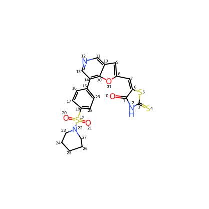 O=C1NC(=S)SC1=Cc1cc2cncc(-c3ccc(S(=O)(=O)N4CCCCC4)cc3)c2o1